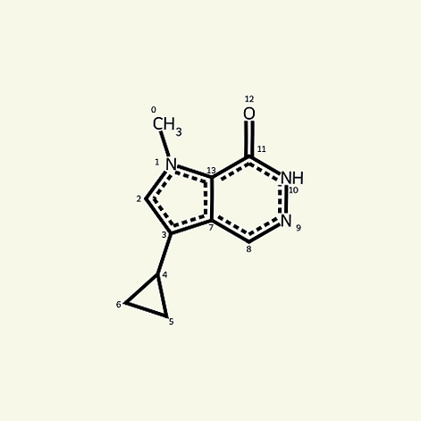 Cn1cc(C2CC2)c2cn[nH]c(=O)c21